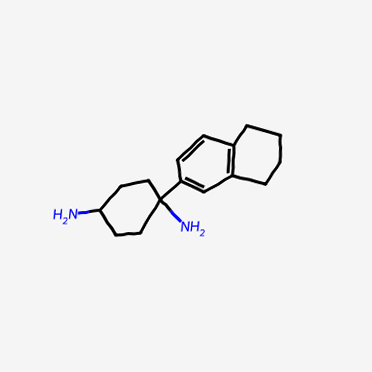 NC1CCC(N)(c2ccc3c(c2)CCCC3)CC1